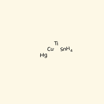 [Cu].[Hg].[SnH4].[Ti]